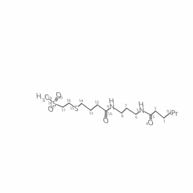 CC(C)CCC(=O)NCCCNC(=O)CCCSCCS(C)(=O)=O